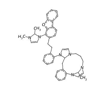 CC1N(C)C=CN1c1c(CCc2ccccc2N2C=CN3CCCN4C=CN(c5ccccc5CC32)C4C)ccc2c1oc1ccccc12